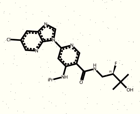 CC(C)Nc1cc(-n2cnc3cc(Cl)cnc32)ncc1C(=O)NC[C@@H](F)C(C)(C)O